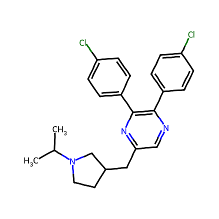 CC(C)N1CCC(Cc2cnc(-c3ccc(Cl)cc3)c(-c3ccc(Cl)cc3)n2)C1